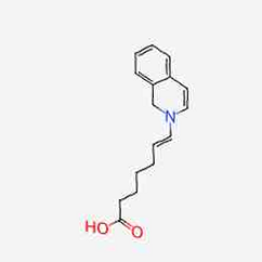 O=C(O)CCCCC=CN1C=Cc2ccccc2C1